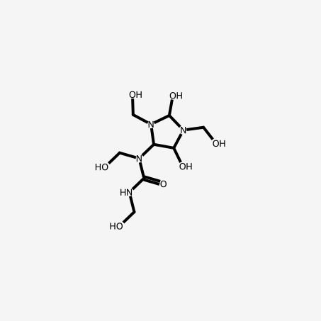 O=C(NCO)N(CO)C1C(O)N(CO)C(O)N1CO